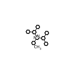 Cc1cccc(-c2cc(-c3cc(-c4ccccc4)cc(-c4ccccc4)c3)nc(-c3cc(-c4ccccc4)cc(-c4ccccc4)c3)n2)c1